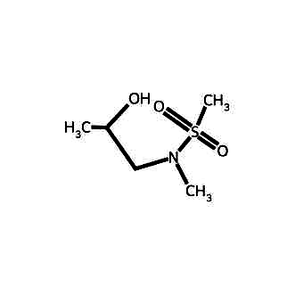 CC(O)CN(C)S(C)(=O)=O